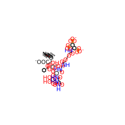 C[C@@H]1O[C@@H](O[C@@H]2[C@@H](NC(=O)c3cc(=O)[nH]c(=O)[nH]3)C[C@@H](C(=O)NCCNC(=O)COCCOCC(=O)Nc3cc(S(=O)(=O)[O-])cc4cc(S(=O)(=O)[O-])cc(S(=O)(=O)[O-])c34)C[C@H]2O[C@@H]2O[C@H](CO)[C@H](O)[C@H](O[C@@H](CC3CCCCC3)C(=O)[O-])[C@H]2OC(=O)c2ccccc2)[C@@H](O)[C@H](O)[C@@H]1O.[Na+].[Na+].[Na+].[Na+]